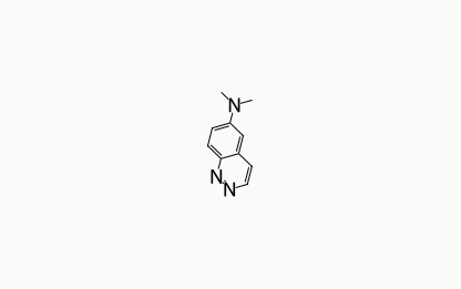 CN(C)c1ccc2nnccc2c1